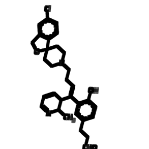 CC1N=CC=CC1/C(=C\CCN1CCC2(CC1)OCc1cc(Cl)ccc12)c1cc(CCC=O)ccc1O